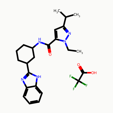 CCn1nc(C(C)C)cc1C(=O)NC1CCCC(c2nc3ccccc3[nH]2)C1.O=C(O)C(F)(F)F